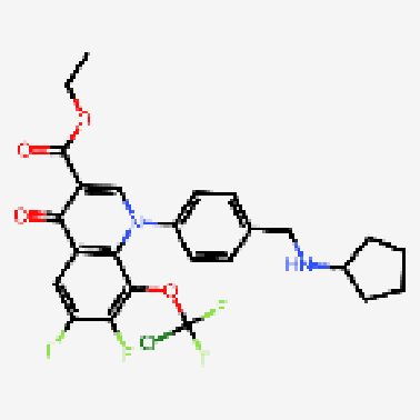 CCOC(=O)c1cn(-c2ccc(CNC3CCCC3)cc2)c2c(OC(F)(F)Cl)c(F)c(F)cc2c1=O